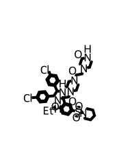 CCOc1ccc(S(=O)(=O)N2CCCCC2)cc1C1(C(=O)N2CCN(C(=O)CN3CCNC(=O)C3)CC2)NC(c2ccc(Cl)cc2)C(c2ccc(Cl)cc2)N1